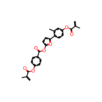 C=C(C)C(=O)Oc1ccc(C(=O)Oc2ccc(-c3ccc(OC(=O)C(=C)C)cc3C)o2)cc1